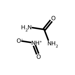 NC(N)=O.O=[NH+][O-]